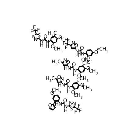 CCOc1ccc(NC(=O)Nc2cc(C(F)(F)F)no2)c([N+](=O)[O-])c1.COc1cc(OC)c(NC(=O)Nc2cc(C)no2)cc1Cl.COc1cc(OC)c(NC(=O)Nc2cc(C)on2)cc1Cl.COc1cc(OC)c(NC(=O)Nc2nnc(C(F)(F)F)s2)cc1C.COc1ccc(NC(=O)Nc2nnc(C(F)(F)F)s2)c(-c2ccco2)c1